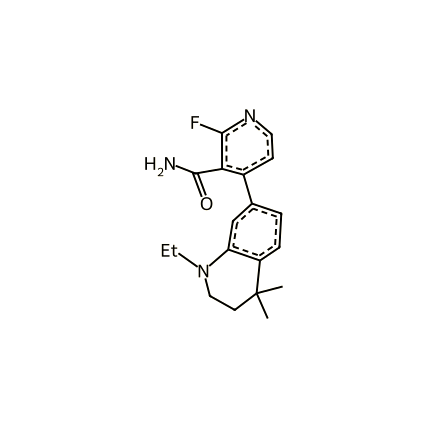 CCN1CCC(C)(C)c2ccc(-c3ccnc(F)c3C(N)=O)cc21